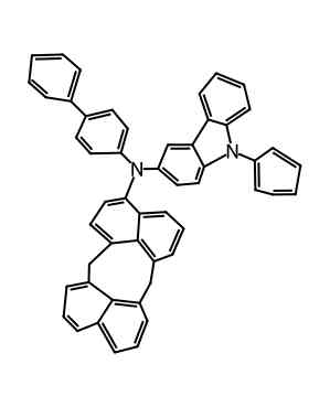 c1ccc(-c2ccc(N(c3ccc4c(c3)c3ccccc3n4-c3ccccc3)c3ccc4c5c(cccc35)Cc3cccc5cccc(c35)C4)cc2)cc1